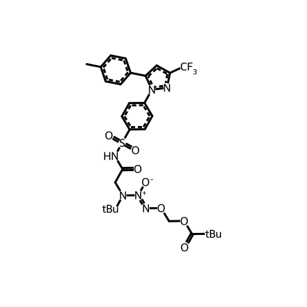 Cc1ccc(-c2cc(C(F)(F)F)nn2-c2ccc(S(=O)(=O)NC(=O)CN(/[N+]([O-])=N/OCOC(=O)C(C)(C)C)C(C)(C)C)cc2)cc1